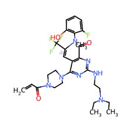 C=CC(=O)N1CCN(c2nc(NCCN(CC)CC)nc(C=O)c2/C=C(\N(C)c2c(O)cccc2F)C(F)(F)F)CC1